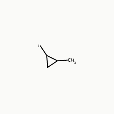 [C]C1CC1C